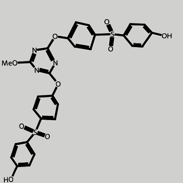 COc1nc(Oc2ccc(S(=O)(=O)c3ccc(O)cc3)cc2)nc(Oc2ccc(S(=O)(=O)c3ccc(O)cc3)cc2)n1